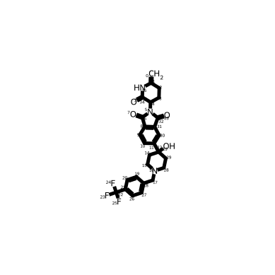 C=C1CCC(N2C(=O)c3ccc(C4(O)CCN(Cc5ccc(C(F)(F)F)cc5)CC4)cc3C2=O)C(=O)N1